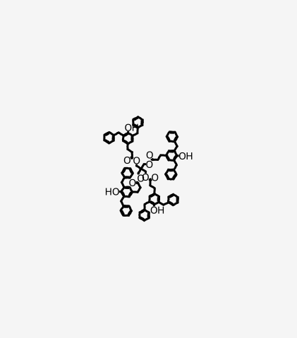 O=C(CCc1cc(Cc2ccccc2)c(O)c(Cc2ccccc2)c1)OCC(COC(=O)CCc1cc(Cc2ccccc2)c(O)c(Cc2ccccc2)c1)(COC(=O)CCc1cc(Cc2ccccc2)c(O)c(Cc2ccccc2)c1)COC(=O)CCc1cc(Cc2ccccc2)c(O)c(Cc2ccccc2)c1